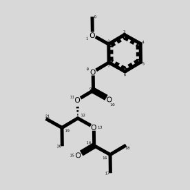 COc1ccccc1OC(=O)O[C@H](OC(=O)C(C)C)C(C)C